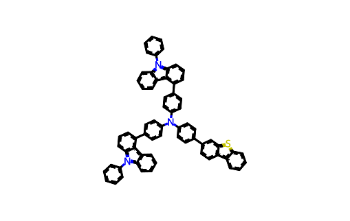 c1ccc(-n2c3ccccc3c3c(-c4ccc(N(c5ccc(-c6ccc7c(c6)sc6ccccc67)cc5)c5ccc(-c6cccc7c6c6ccccc6n7-c6ccccc6)cc5)cc4)cccc32)cc1